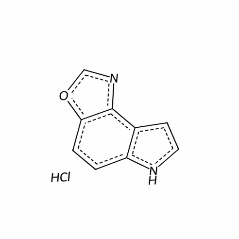 Cl.c1cc2c(ccc3ocnc32)[nH]1